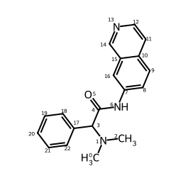 CN(C)C(C(=O)Nc1ccc2ccncc2c1)c1ccccc1